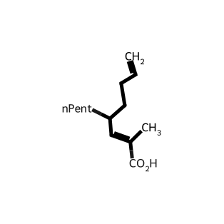 C=CCCC(C=C(C)C(=O)O)CCCCC